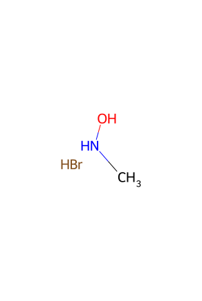 Br.CNO